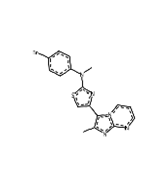 Cc1nc2ncccn2c1-c1csc(N(C)c2ccc(Br)cc2)n1